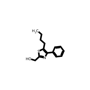 CCCCc1sc(CO)nc1-c1ccccc1